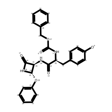 O=C(N[C@@H](Cc1ccc(Cl)cc1)C(=O)N[C@@H]1C(=O)N[C@H]1Oc1ccccc1)OCc1ccccc1